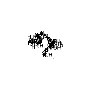 Cc1ncsc1-c1ccc(CNC(=O)[C@@H]2C[C@H](O)CN2C(=O)C(NC(=O)COCCOCCn2cc(-c3cnc(N)c4c(-c5ccc(NS(=O)(=O)C(F)F)c(OC(C)c6ccc(F)cc6)c5)nn(C)c34)cn2)C(C)(C)C)cc1